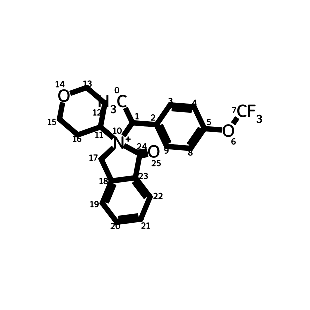 CC(c1ccc(OC(F)(F)F)cc1)[N+]1(C2CCOCC2)Cc2ccccc2C1=O